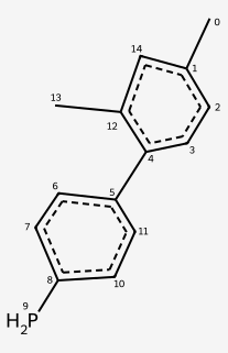 Cc1ccc(-c2ccc(P)cc2)c(C)c1